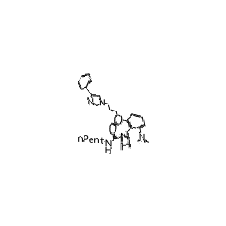 CCCCCNC(=O)Nc1c(OCCCn2cnc(-c3ccccc3)c2)cccc1N(C)C